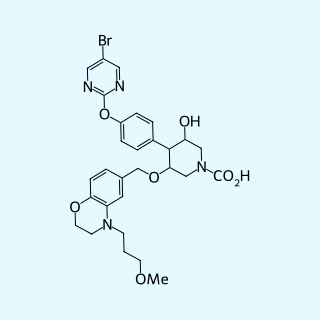 COCCCN1CCOc2ccc(COC3CN(C(=O)O)CC(O)C3c3ccc(Oc4ncc(Br)cn4)cc3)cc21